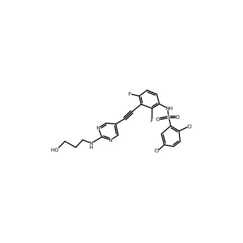 O=S(=O)(Nc1ccc(F)c(C#Cc2cnc(NCCCO)nc2)c1F)c1cc(Cl)ccc1Cl